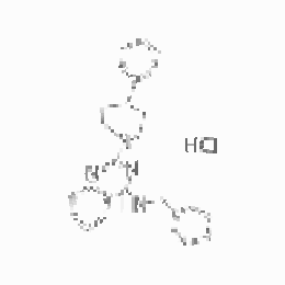 Cl.c1ccc(CNc2nc(N3CCC(c4ccccc4)CC3)nc3ccccc23)cc1